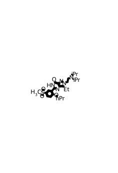 CCCOc1ccc(S(C)(=O)=O)cc1-c1nc2c(CC)n(CCN(C(C)C)C(C)C)nc2c(=O)[nH]1